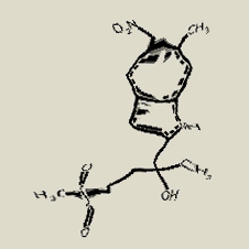 Cc1cc2[nH]c(C(C)(O)CCS(C)(=O)=O)cc2cc1[N+](=O)[O-]